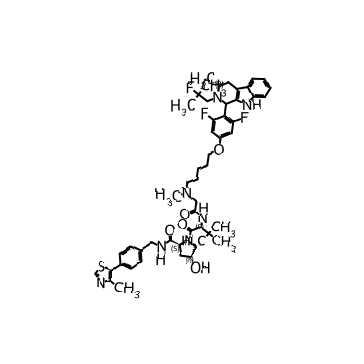 Cc1ncsc1-c1ccc(CNC(=O)[C@@H]2C[C@@H](O)CN2C(=O)[C@@H](NC(=O)CN(C)CCCCCOc2cc(F)c(C3c4[nH]c5ccccc5c4C[C@@H](C)N3CC(C)(C)F)c(F)c2)C(C)(C)C)cc1